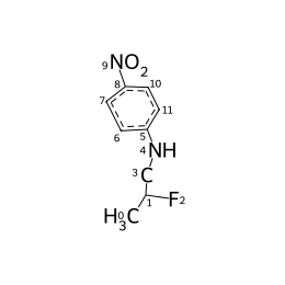 CC(F)CNc1ccc([N+](=O)[O-])cc1